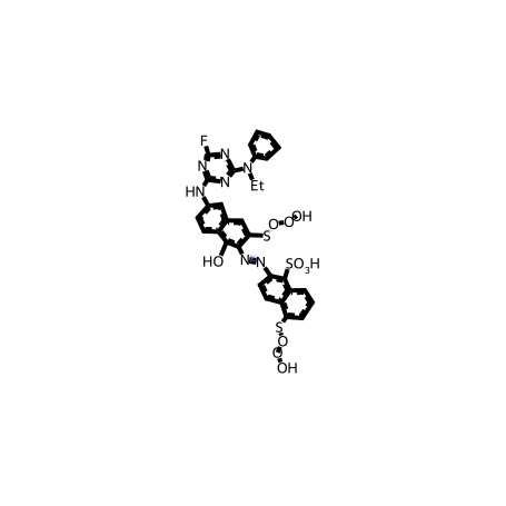 CCN(c1ccccc1)c1nc(F)nc(Nc2ccc3c(O)c(/N=N/c4ccc5c(SOOO)cccc5c4S(=O)(=O)O)c(SOOO)cc3c2)n1